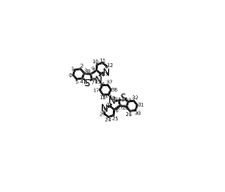 c1ccc2c(c1)sc1c2c2cccnc2n1-c1ccc(-n2c3ncccc3c3c4ccccc4sc32)cc1